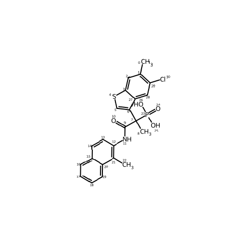 Cc1cc2scc(C(C)(C(=O)Nc3ccc4ccccc4c3C)P(=O)(O)O)c2cc1Cl